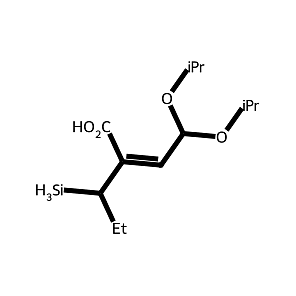 CCC([SiH3])C(=CC(OC(C)C)OC(C)C)C(=O)O